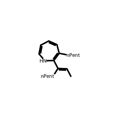 CC=C(CCCCC)C1=C(CCCCC)C=CC=CN1